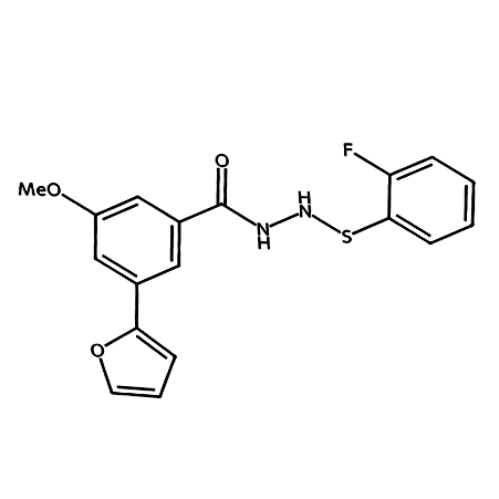 COc1cc(C(=O)NNSc2ccccc2F)cc(-c2ccco2)c1